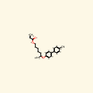 C=CC(=O)OCCCCCC(CCC)Oc1ccc(-c2ccc(C#N)cc2)cc1